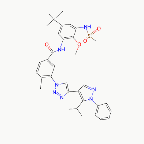 COc1c(NC(=O)c2ccc(C)c(-n3cc(-c4cnn(-c5ccccc5)c4C(C)C)nn3)c2)cc(C(C)(C)C)cc1NS(C)(=O)=O